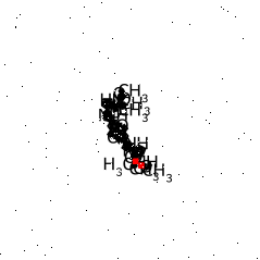 COC(=O)N[C@H](C(=O)N1CCC[C@H]1c1ncc(-c2cc3c4c(c2)OCc2cc(-c5cnc([C@@H]6CCCN6C(=O)[C@@H](NC(=O)OC)C(C)C)[nH]5)cc(c2-4)OC3)[nH]1)C(C)C